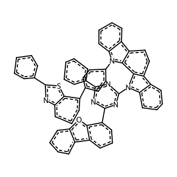 c1ccc(-c2nc(-c3cccc4c3oc3ccccc34)nc(-n3c4ccccc4c4ccc5c6ccccc6n(-c6ccc(-c7cccc8nc(-c9ccccc9)sc78)cc6)c5c43)n2)cc1